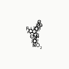 O=c1c(-c2ccc(F)cc2)c(-c2ccc(C[SH](=O)=O)cc2)cnn1-c1ccc([N+](=O)[O-])cc1